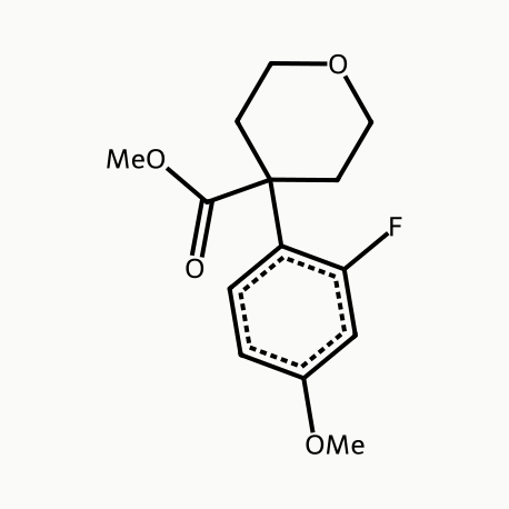 COC(=O)C1(c2ccc(OC)cc2F)CCOCC1